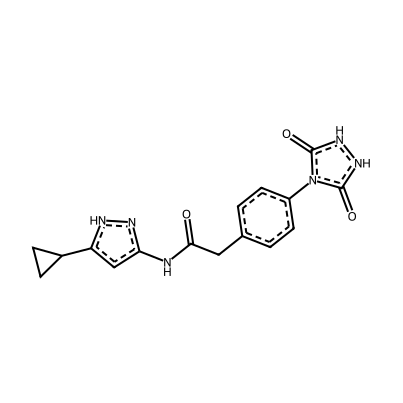 O=C(Cc1ccc(-n2c(=O)[nH][nH]c2=O)cc1)Nc1cc(C2CC2)[nH]n1